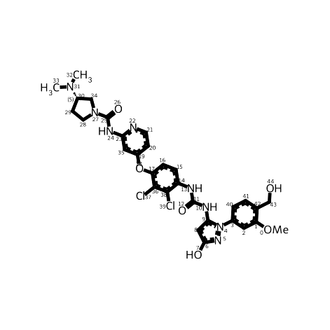 COc1cc(-n2nc(O)cc2NC(=O)Nc2ccc(Oc3ccnc(NC(=O)N4CC[C@H](N(C)C)C4)c3)c(Cl)c2Cl)ccc1CO